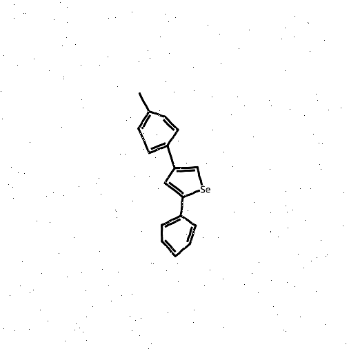 Cc1ccc(-c2c[se]c(-c3ccccc3)c2)cc1